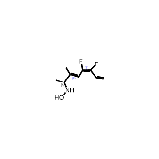 C=C/C(F)=C(F)\C=C(/C)[C@H](C)NO